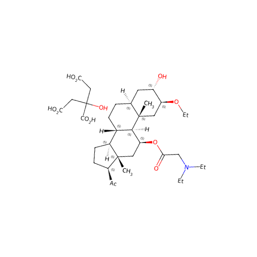 CCO[C@H]1C[C@@]2(C)[C@@H](CC[C@@H]3[C@@H]2[C@@H](OC(=O)CN(CC)CC)C[C@]2(C)[C@@H](C(C)=O)CC[C@@H]32)C[C@@H]1O.O=C(O)CC(O)(CC(=O)O)C(=O)O